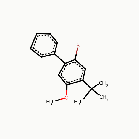 COc1cc(-c2ccccc2)c(Br)cc1C(C)(C)C